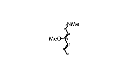 C/C=C/C(=C/CNC)OC